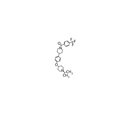 CC(C)N1CCC(Oc2ccc(C3CCN(C(=O)c4ccc(C(F)(F)F)cc4)CC3)cc2)CC1